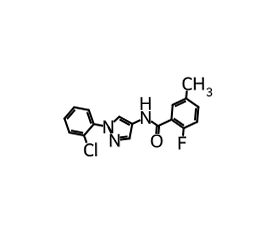 Cc1ccc(F)c(C(=O)Nc2cnn(-c3ccccc3Cl)c2)c1